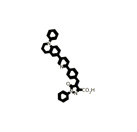 O=C(O)C1=NN(c2ccccc2)C(=O)/C1=C\c1ccc(-c2ccc(-c3ccc4c(c3)CCCN4c3ccccc3)cn2)cc1